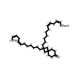 CCCCC/C=C\C/C=C\CCCCCCC1(CCCCCC/C=C\C/C=C\CCCCC)CC2(CCC(=O)CC2)C1